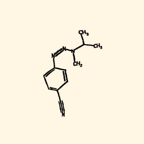 CC(C)N(C)/N=N\c1ccc(C#N)cc1